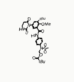 COc1c(C(=O)Nc2ccc(N(COC(=O)C(C)(C)C)S(C)(=O)=O)cc2)cc(N2C(=O)CCNC2=O)cc1C(C)(C)C